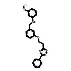 FC(F)(F)Oc1cccc(NCc2cccc(OCCc3noc(-c4ccccc4)n3)c2)c1